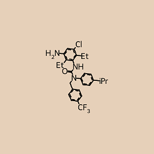 CCc1c(N)cc(Cl)c(CC)c1NC(=O)N(Cc1ccc(C(F)(F)F)cc1)c1ccc(C(C)C)cc1